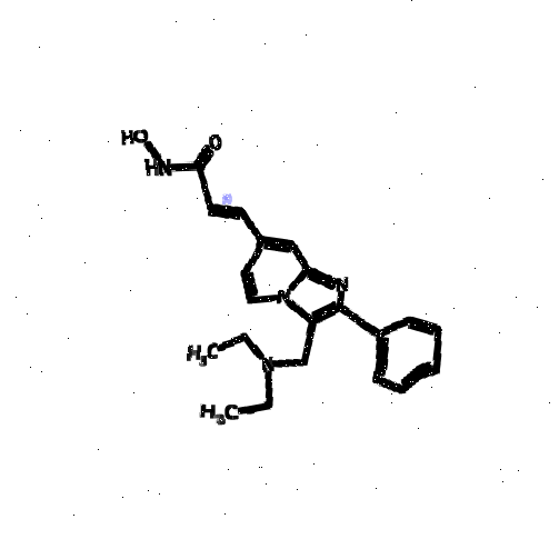 CCN(CC)Cc1c(-c2ccccc2)nc2cc(/C=C/C(=O)NO)ccn12